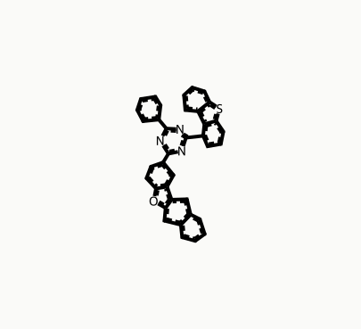 c1ccc(-c2nc(-c3ccc4oc5cc6ccccc6cc5c4c3)nc(-c3cccc4sc5ccccc5c34)n2)cc1